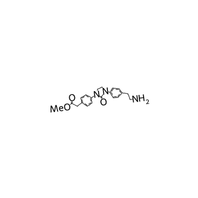 COC(=O)Cc1ccc(N2CCN(c3ccc(CCN)cc3)C2=O)cc1